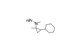 CCCN(C)C1(C)CC1C1CCCCC1